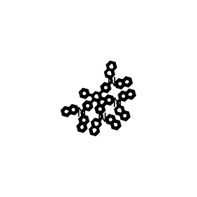 C1=CC2=CC(N(c3ccc(C4=c5c(c6ccc(N(C7=CC=C8C=CC=CC8C7)c7ccc8ccccc8c7)cc6c6cc(N(c7ccc8ccccc8c7)C7C=c8ccccc8=CC7)ccc56)=C(c5ccc(N(c6ccc7ccccc7c6)c6ccc7ccccc7c6)cc5)C(c5ccccc5)C4)cc3)c3ccc4ccccc4c3)=CCC2C=C1